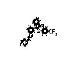 O=C1C(=Nc2cccc(C(F)(F)F)c2)c2ccccc2N1c1cccc(OCCN2CCOCC2)c1